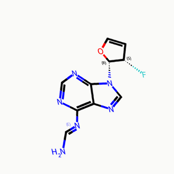 N/C=N/c1ncnc2c1ncn2[C@@H]1OC=C[C@@H]1F